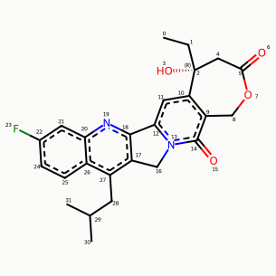 CC[C@@]1(O)CC(=O)OCc2c1cc1n(c2=O)Cc2c-1nc1cc(F)ccc1c2CC(C)C